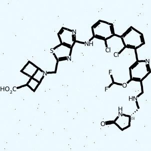 O=C1CC[C@@H](CNCc2cnc(-c3cccc(-c4cccc(Nc5nccc6sc(CN7C8CCC89C(C(=O)O)CC79)nc56)c4Cl)c3Cl)cc2OC(F)F)N1